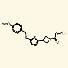 CCCCOC(=O)N1CC(c2ccc(SCc3ccc(OC)cc3)s2)C1